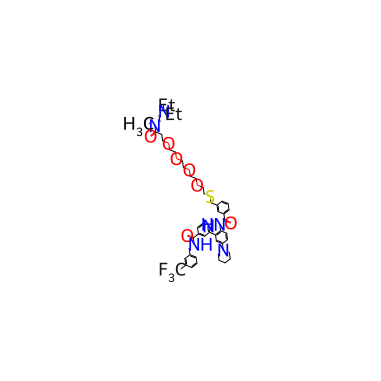 CCN(CC)CCN(C)C(=O)CCOCCOCCOCCOCCSCc1cccc(C(=O)Nc2ccc(N3CCCCC3)cc2-c2cc(C(=O)NCc3cccc(C(F)(F)F)c3)ccn2)c1